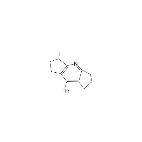 CC(C)c1c2c(nc3c1CC[C@@H]3C)CCC2